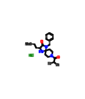 CCC(CC)C(=O)N1CCC2(CC1)NC(CCSC)C(=O)N2Cc1ccccc1.Cl